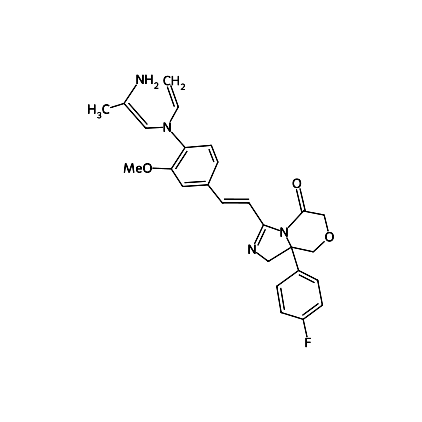 C=CN(/C=C(/C)N)c1ccc(/C=C/C2=NCC3(c4ccc(F)cc4)COCC(=O)N23)cc1OC